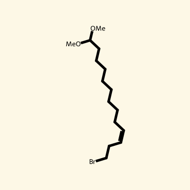 COC(CCCCCCCC/C=C\CCBr)OC